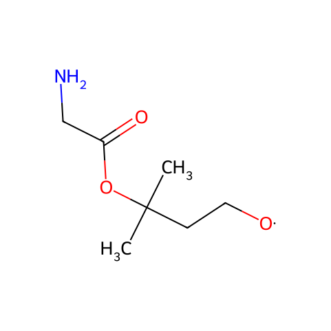 CC(C)(CC[O])OC(=O)CN